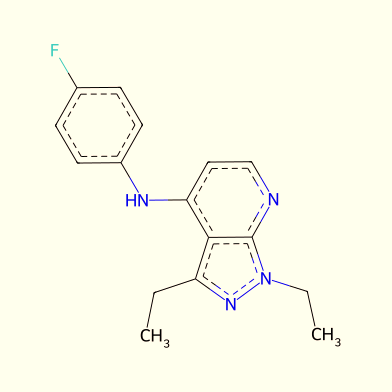 CCc1nn(CC)c2nccc(Nc3ccc(F)cc3)c12